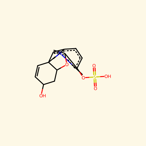 CN1CCC23C=CC(O)CC2Oc2c(OS(=O)(=O)O)ccc(c23)C1